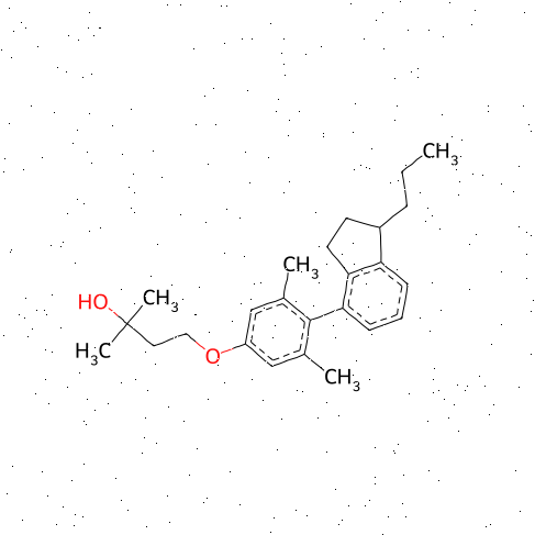 CCCC1CCc2c(-c3c(C)cc(OCCC(C)(C)O)cc3C)cccc21